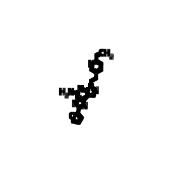 C=Cc1ccc(CCn2ncc3c2nc(N)n2nc(-c4ccco4)nc32)cn1